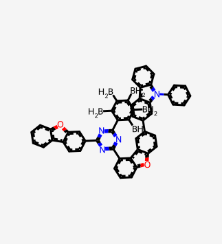 Bc1c(B)c(B)c(-c2nc(-c3ccc4c(c3)oc3ccccc34)nc(-c3cccc4oc5ccc(-c6ccc7c8ccccc8n(-c8ccccc8)c7c6)cc5c34)n2)c(B)c1B